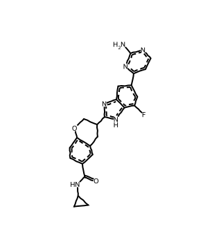 Nc1nccc(-c2cc(F)c3[nH]c(C4COc5ccc(C(=O)NC6CC6)cc5C4)nc3c2)n1